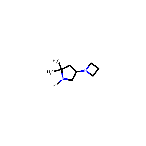 CC(C)N1C[C@H](N2CCC2)CC1(C)C